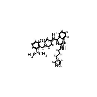 COc1cccc(N(C)C)c1CN1CCC(Nc2nc(NCCCn3ccnc3)nc3ccccc23)CC1